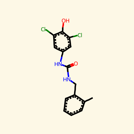 Cc1ccccc1CNC(=O)Nc1cc(Cl)c(O)c(Cl)c1